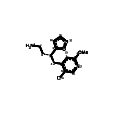 COc1cc(S[C@H](CCN)c2ccno2)c(Cl)cn1